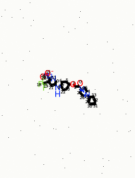 O=C(COC1CCC(Nc2cnc([N+](=O)[O-])c(C(F)(F)F)c2)CC1)N1CCN(c2ccccc2)CC1